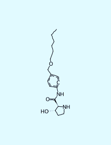 CCCCCCOCc1ccc(NC(=O)[C@H]2NCC[C@@H]2O)cc1